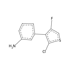 Nc1cccc(-c2c(F)csc2Cl)c1